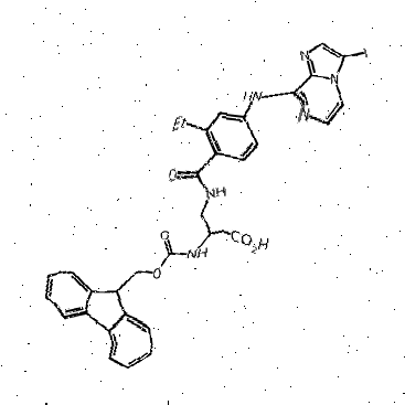 CCc1cc(Nc2nccn3c(I)cnc23)ccc1C(=O)NCC(NC(=O)OCC1c2ccccc2-c2ccccc21)C(=O)O